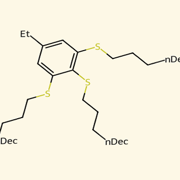 [CH2]Cc1cc(SCCCCCCCCCCCCC)c(SCCCCCCCCCCCCC)c(SCCCCCCCCCCCCC)c1